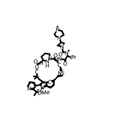 CCn1c(-c2cccnc2[C@H](C)OC)c2c3cc(ccc31)-c1csc(n1)C[C@H](NC(=O)C(C(C)C)N(C)C(=O)N1CC(N3CCN(C)CC3)C1)C(=O)N1CCC[C@H](N1)C(=O)OCC(C)(C)C2